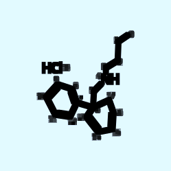 CCCCNCC1(c2ccccc2)C=CC=CC1.Cl